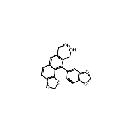 OCc1cc2ccc3c(c2c(-c2ccc4c(c2)OCO4)c1CO)OCO3